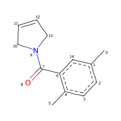 Cc1ccc(C)c(C(=O)N2CC=CC2)c1